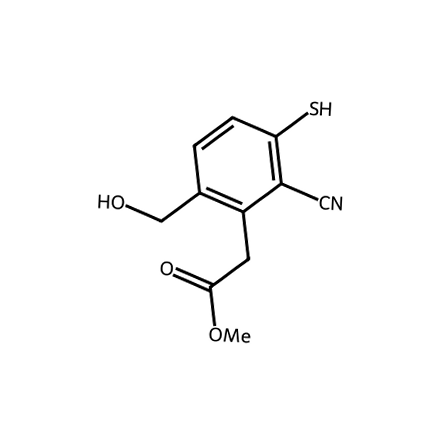 COC(=O)Cc1c(CO)ccc(S)c1C#N